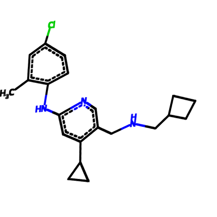 Cc1cc(Cl)ccc1Nc1cc(C2CC2)c(CNCC2CCC2)cn1